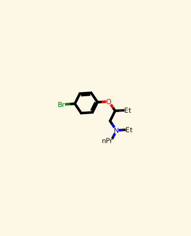 CCCN(CC)CC(CC)OC1=CCC(Br)C=C1